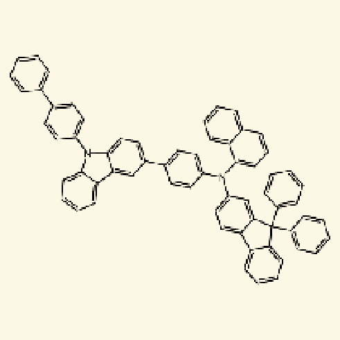 c1ccc(-c2ccc(-n3c4ccccc4c4cc(-c5ccc(N(c6ccc7c(c6)C(c6ccccc6)(c6ccccc6)c6ccccc6-7)c6cccc7ccccc67)cc5)ccc43)cc2)cc1